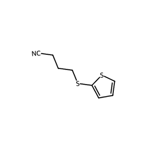 N#CCCCSc1cccs1